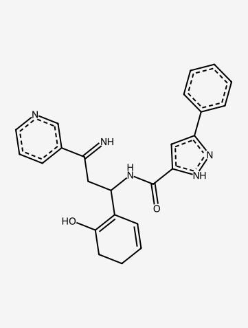 N=C(CC(NC(=O)c1cc(-c2ccccc2)n[nH]1)C1=C(O)CCC=C1)c1cccnc1